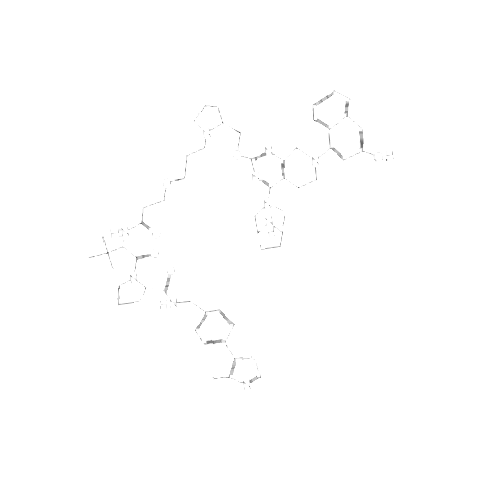 Cc1ncsc1-c1ccc(CNC(=O)[C@@H]2CCCN2C(=O)[C@@H](NC(=O)CCOCCCN2CCC[C@H]2COc2nc3c(c(N4CC5CCC(C4)N5)n2)CCN(c2cc(O)cc4ccccc24)C3)C(C)(C)C)cc1